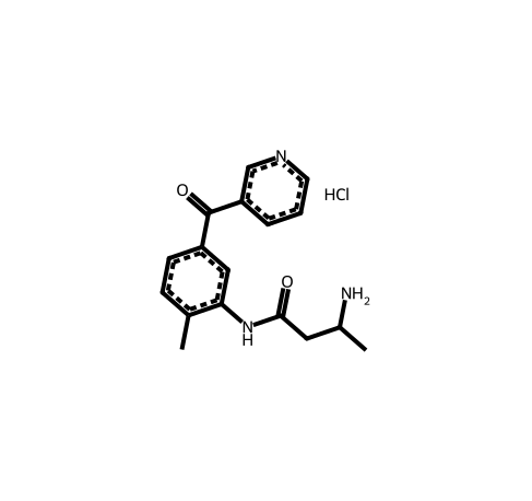 Cc1ccc(C(=O)c2cccnc2)cc1NC(=O)CC(C)N.Cl